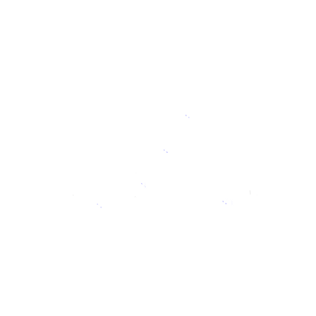 CC1=CCC(C(=O)N2CCC(NC3=CC(C4=CCNC(C)=C4)=CC4C=CNCC34)CC2)C=N1